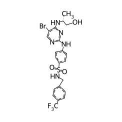 C[C@H](CO)Nc1nc(Nc2ccc(S(=O)(=O)NCc3ccc(C(F)(F)F)cc3)cc2)ncc1Br